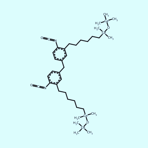 [CH3][Ge]([CH3])([CH3])[O][Ge]([CH3])([CH3])[CH2]CCCCCc1cc(Cc2ccc(N=C=O)c(CCCCC[CH2][Ge]([CH3])([CH3])[O][Ge]([CH3])([CH3])[CH3])c2)ccc1N=C=O